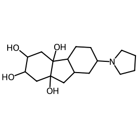 OC1CC2(O)CC3CC(N4CCCC4)CCC3C2(O)CC1O